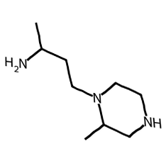 CC(N)CCN1CCNCC1C